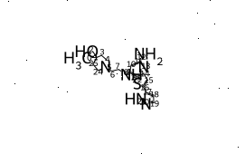 CC1(O)CCN(CCNc2cc(N)nc3cc(-c4ccn[nH]4)sc23)CC1